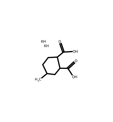 CC1CCC(C(=O)O)C(C(=O)O)C1.[KH].[KH]